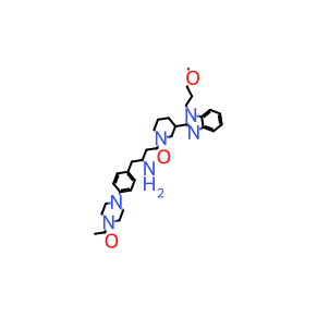 COCCCn1c(C2CCCN(C(=O)CC(N)Cc3ccc(N4CCN(C(C)=O)CC4)cc3)C2)nc2ccccc21